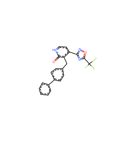 O=c1[nH]ccc(-c2noc(C(F)(F)F)n2)c1Cc1ccc(-c2ccccc2)cc1